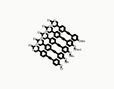 CCC1OCC(c2ccc(C#Cc3ccc(OC)cc3)cc2)CO1.CCCCCOc1ccc(C#Cc2ccc(C3COC(CC)OC3)cc2)cc1.CCCCOc1ccc(C#Cc2ccc(C3COC(CC)OC3)cc2)cc1.CCCOc1ccc(C#Cc2ccc(C3COC(CC)OC3)cc2)cc1.CCOc1ccc(C#Cc2ccc(C3COC(CC)OC3)cc2)cc1